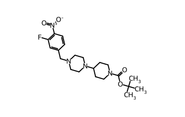 CC(C)(C)OC(=O)N1CCC(N2CCN(Cc3ccc([N+](=O)[O-])c(F)c3)CC2)CC1